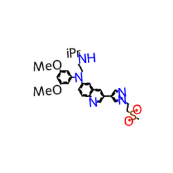 COc1cc(OC)cc(N(CCNC(C)C)c2ccc3ncc(-c4cnn(CCS(C)(=O)=O)c4)cc3c2)c1